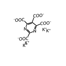 O=C([O-])c1nc(C(=O)[O-])c(C(=O)[O-])c(C(=O)[O-])n1.[K+].[K+].[K+].[K+]